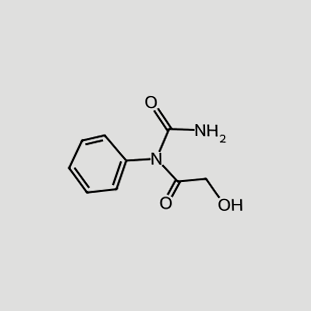 NC(=O)N(C(=O)CO)c1ccccc1